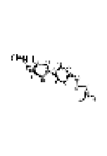 CN(C)CCOc1ccc(-c2ccc(CNCl)cc2)cc1